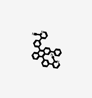 N#Cc1ncccc1-c1cccc(-c2c3ccccc3c(-c3cccc(-c4cccnc4C#N)c3)c3cc(-c4ccccc4)ccc23)c1